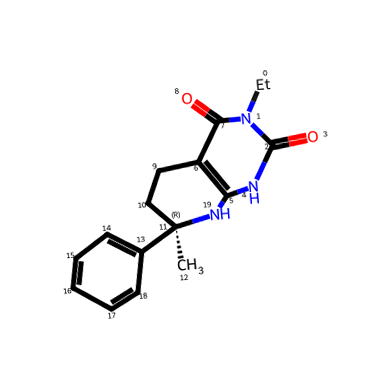 CCn1c(=O)[nH]c2c(c1=O)CC[C@](C)(c1ccccc1)N2